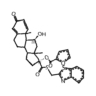 CC12C=CC(=O)C=C1CCC1C2[C@@H](O)CC2(C)C1CC[C@]2(OC(=O)c1ccco1)C(=O)SCc1nc2ccccc2s1